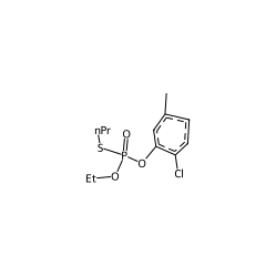 CCCSP(=O)(OCC)Oc1cc(C)ccc1Cl